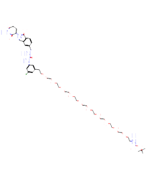 CC(C)(C)OC(=O)NCCOCCOCCOCCOCCOCCOCCOCCOCCOCCOCCc1cc(Cl)cc(NC(=O)NCc2ccc3c(c2)CN(C2CCC(=O)NC2=O)C3=O)c1